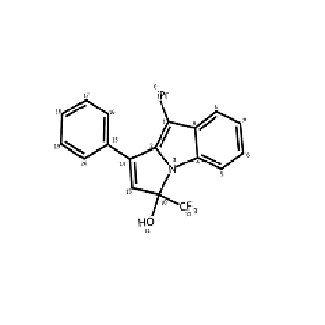 CC(C)c1c2n(c3ccccc13)C(O)(C(F)(F)F)C=C2c1ccccc1